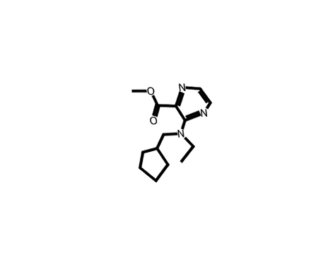 CCN(CC1CCCC1)c1nccnc1C(=O)OC